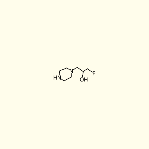 OC(CF)CN1CCNCC1